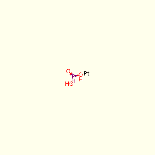 O=[PH](O)O.[Pt]